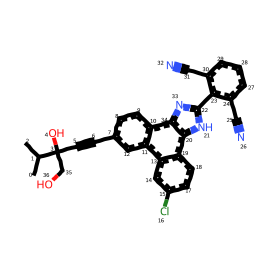 CC(C)C(O)(C#Cc1ccc2c(c1)c1cc(Cl)ccc1c1[nH]c(-c3c(C#N)cccc3C#N)nc21)CO